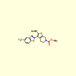 CC(=O)Nc1sc2c(c1-c1nc3cc(C(F)(F)F)ccc3s1)CCN(C(=O)OC(C)(C)C)C2